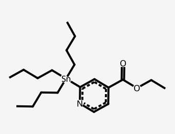 CCC[CH2][Sn]([CH2]CCC)([CH2]CCC)[c]1cc(C(=O)OCC)ccn1